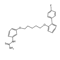 NC(=S)Nc1cccc(OCCCCCOc2ccccc2-c2ccc(F)cc2)c1